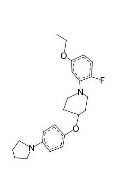 CCOc1ccc(F)c(N2CCC(Oc3ccc(N4CCCC4)cc3)CC2)c1